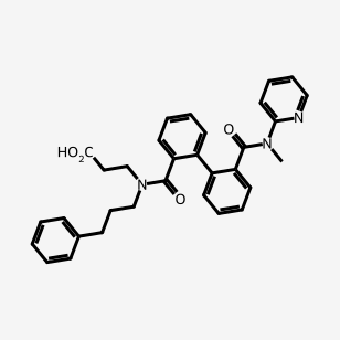 CN(C(=O)c1ccccc1-c1ccccc1C(=O)N(CCCc1ccccc1)CCC(=O)O)c1ccccn1